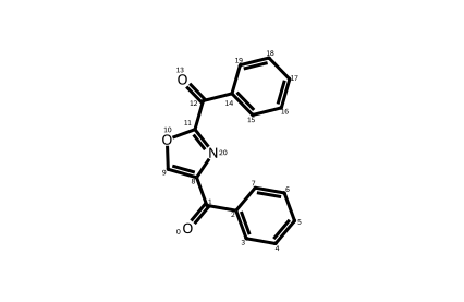 O=C(c1ccccc1)c1coc(C(=O)c2ccccc2)n1